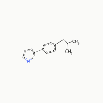 CC(C)Cc1ccc(-c2cccnc2)cc1